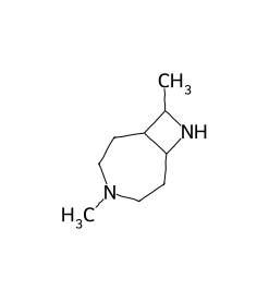 CC1NC2CCN(C)CCC12